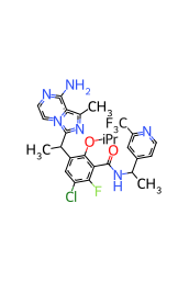 Cc1nc(C(C)c2cc(Cl)c(F)c(C(=O)NC(C)c3ccnc(C(F)(F)F)c3)c2OC(C)C)n2ccnc(N)c12